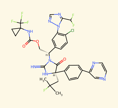 CC(C)(F)C[C@]1(c2ccc(-c3cnccn3)cc2)NC(=N)N([C@H](COC(=O)NC2(C(F)(F)F)CC2)c2ccc(Cl)c(-n3ncnc3C(F)F)c2)C1=O